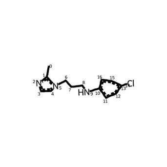 Cc1nccn1CCCNc1ccc(Cl)cc1